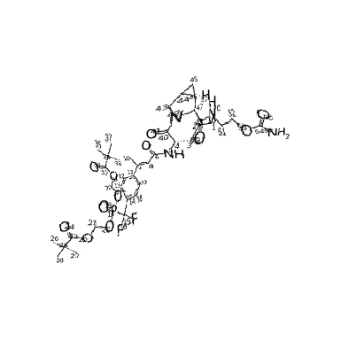 CCCC[C@H](NC(=O)/C=C(\C)c1ccc(C(F)(F)P(=O)(OCOC(=O)C(C)(C)C)OCOC(=O)C(C)(C)C)cc1)C(=O)N1CC2C[C@H]2[C@H]1C(=O)NCCOC(N)=O